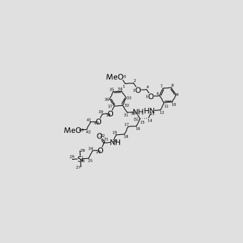 COCCOCOc1ccccc1CNC[C@H](CCCCNC(=O)OCC[Si](C)(C)C)NCc1ccccc1OCOCCOC